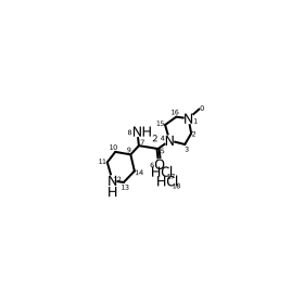 CN1CCN(C(=O)C(N)C2CCNCC2)CC1.Cl.Cl